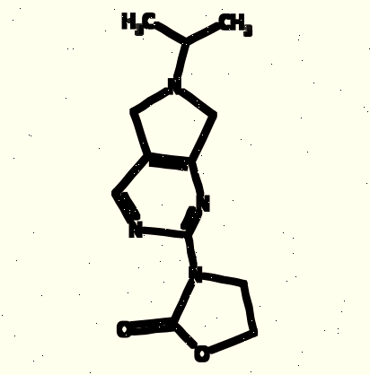 CC(C)N1Cc2cnc(N3CCOC3=O)nc2C1